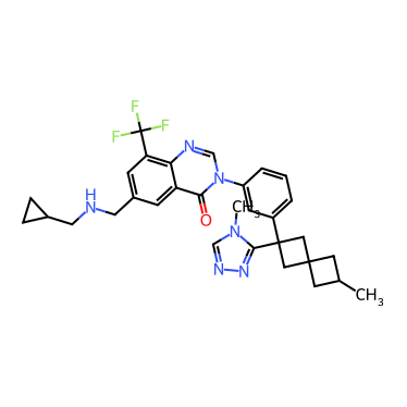 CC1CC2(C1)CC(c1cccc(-n3cnc4c(C(F)(F)F)cc(CNCC5CC5)cc4c3=O)c1)(c1nncn1C)C2